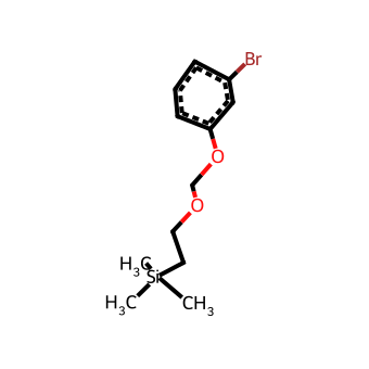 C[Si](C)(C)CCOCOc1cccc(Br)c1